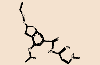 CCOCC1Cc2c(OC(C)C)cc(C(=O)NC(=N)/C=C\NC)cc2O1